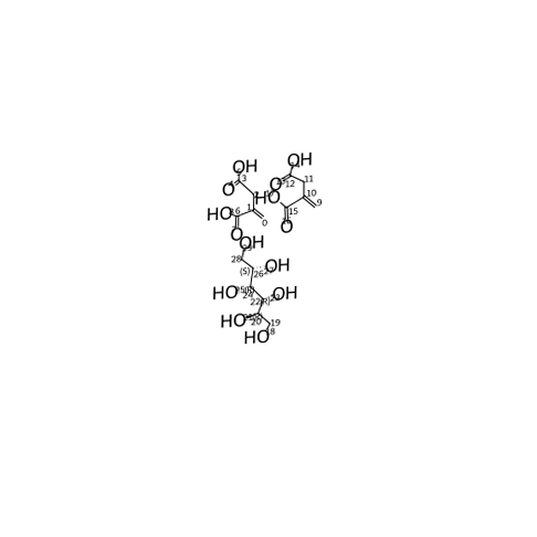 C=C(CC(=O)O)C(=O)O.C=C(CC(=O)O)C(=O)O.OC[C@@H](O)[C@@H](O)[C@H](O)[C@@H](O)CO